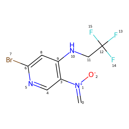 C=[N+]([O-])c1cnc(Br)cc1NCC(F)(F)F